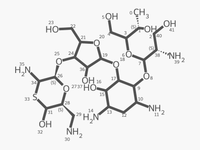 C[C@H](O)C(CO)OC(OC1C(N)CC(N)C(O)C1OC1OC(CO)C(O[C@H]2O[C@@H](CN)C(O)SC2N)C1O)[C@@H](N)CO